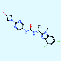 Cn1c([C@H](NC(=O)Nc2cnc(N3CC(O)C3)nc2)C(F)(F)F)nc2c(F)cc(F)cc21